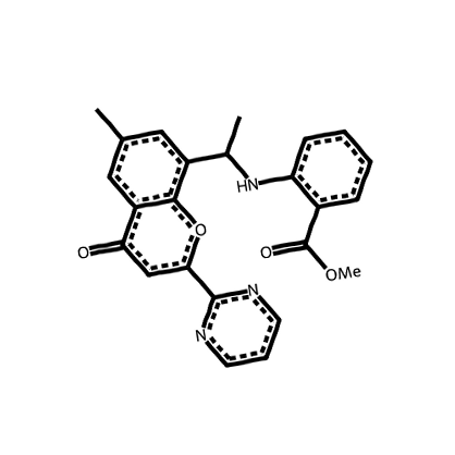 COC(=O)c1ccccc1NC(C)c1cc(C)cc2c(=O)cc(-c3ncccn3)oc12